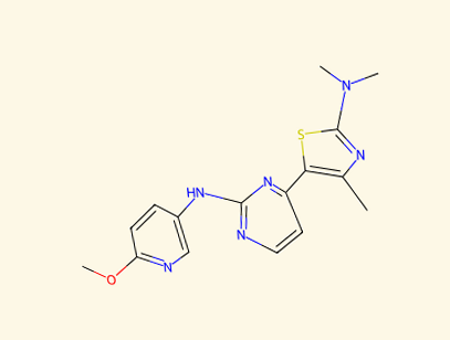 COc1ccc(Nc2nccc(-c3sc(N(C)C)nc3C)n2)cn1